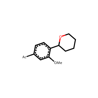 COc1cc(C(C)=O)ccc1C1CCCCO1